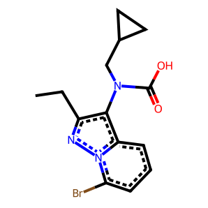 CCc1nn2c(Br)cccc2c1N(CC1CC1)C(=O)O